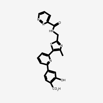 Cc1nc(CNC(=O)c2cccnn2)sc1-c1cccc(-c2ccc(C(=O)O)c(O)c2)n1